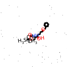 CC(C)C[C@@H](NC(=O)OC(C)(C)[SiH3])C(O)CCCCOCc1ccccc1